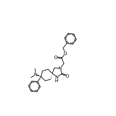 CN(C)[C@]1(c2ccccc2)CC[C@]2(CC1)CN(CC(=O)OCc1ccccc1)C(=O)N2